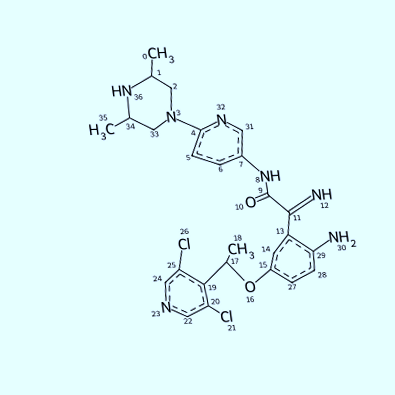 CC1CN(c2ccc(NC(=O)C(=N)c3cc(OC(C)c4c(Cl)cncc4Cl)ccc3N)cn2)CC(C)N1